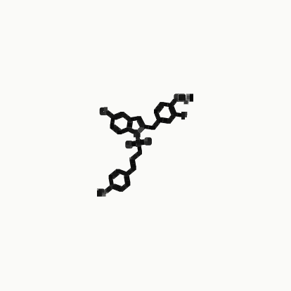 CC(C)c1ccc(C=CCS(=O)(=O)n2c(Cc3ccc(C(=O)O)c(F)c3)cc3cc(Cl)ccc32)cc1